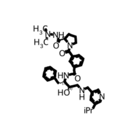 CC(C)c1cncc(CNC[C@H](O)[C@H](Cc2ccccc2)NC(=O)c2cccc(C(=O)N3CCC[C@@H]3C(=O)NN(C)C)c2)c1